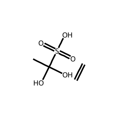 C=C.CC(O)(O)S(=O)(=O)O